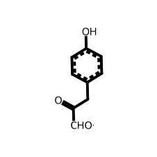 O=[C]C(=O)Cc1ccc(O)cc1